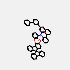 c1ccc(-c2cccc(-c3cccc(N(c4ccccc4-c4ccccc4)c4cccc5c4Oc4ccc6c(c4O5)-c4ccccc4C64c5ccccc5-c5ccccc54)c3)c2)cc1